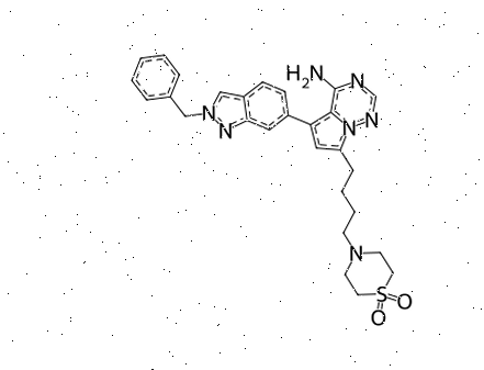 Nc1ncnn2c(CCCCN3CCS(=O)(=O)CC3)cc(-c3ccc4cn(Cc5ccccc5)nc4c3)c12